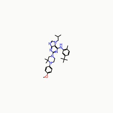 COc1ccc(N2CCN(c3nc(Nc4cc(C(C)(C)C)ccc4C)c4c(ncn4CC(C)C)n3)CC2(C)C)cc1